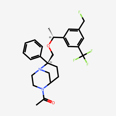 CC(=O)N1CCN2CC1CC[C@@]2(CO[C@H](C)c1cc(CF)cc(C(F)(F)F)c1)c1ccccc1